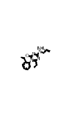 C=CCN(N)c1nc(CC)n(-c2ccccc2CC)c(=O)n1